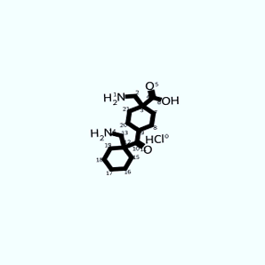 Cl.NCC1(C(=O)O)CCC(C(=O)C2(CN)CCCCC2)CC1